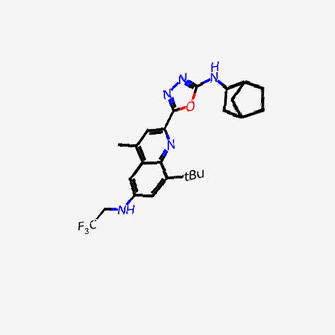 Cc1cc(-c2nnc(NC3CC4CCC3C4)o2)nc2c(C(C)(C)C)cc(NCC(F)(F)F)cc12